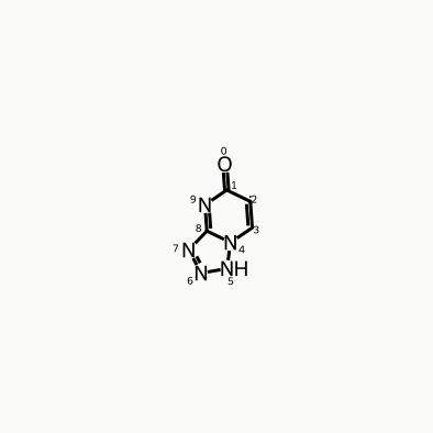 O=c1[c]cn2[nH]nnc2n1